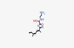 C=C/C(C)=C\C=C(/C)c1noc(C(O)NCCN)n1